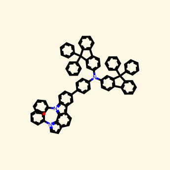 c1ccc(-n2ccc3ccc4c5cc(-c6ccc(N(c7ccc8c(c7)C(c7ccccc7)(c7ccccc7)c7ccccc7-8)c7ccc8c(c7)C(c7ccccc7)(c7ccccc7)c7ccccc7-8)cc6)ccc5n(-c5ccccc5)c4c32)cc1